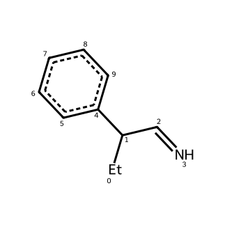 CCC(C=N)c1ccccc1